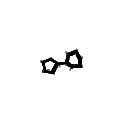 C1=S(c2ncccn2)CCN1